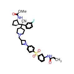 C=CC(=O)Nc1cccc(S(=O)(=O)c2ccc(N3CC(CN4CCC([C@](C#N)(c5cccc(F)c5)[C@H]5CCC[C@@H]5NC(=O)OC)CC4)C3)cc2)c1